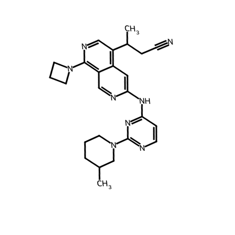 CC1CCCN(c2nccc(Nc3cc4c(C(C)CC#N)cnc(N5CCC5)c4cn3)n2)C1